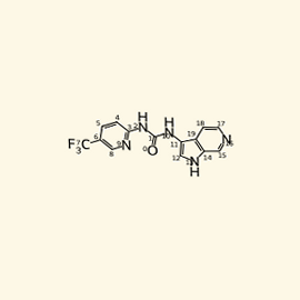 O=C(Nc1ccc(C(F)(F)F)cn1)Nc1c[nH]c2cnccc12